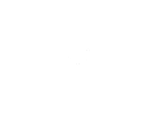 C=CC[Si](CC=C)(CC=C)OC(=O)C=C